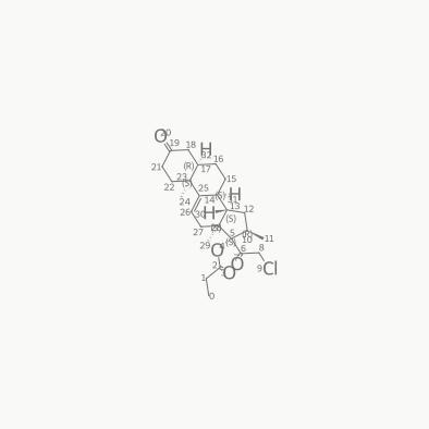 CCC(=O)O[C@@]1(C(=O)CCl)[C@H](C)C[C@H]2[C@@H]3CC[C@@H]4CC(=O)CC[C@]4(C)C3=CC[C@@]21C